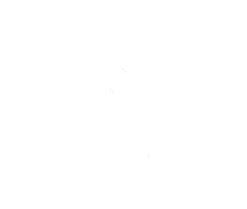 COC(=O)c1ccc(C2CN(C3CC3)CCN2CO)cc1